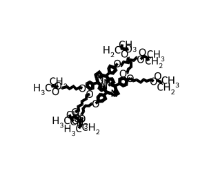 C=C(C)C(=O)OCCCCCCOc1ccc(-c2c3nc(c(-c4ccc(OCCCCCCOC(=O)C(=C)C)c(OCCCCCCOC(=O)C(C)(C)C)c4)c4ccc5c(-c6ccc(OCCCCCCOC(=O)C(=C)C)cc6)c6nc(c(-c7ccc(OCCCCCCOC(=O)C(=C)C)c(OCCCCCCOC(=O)C(=C)C)c7)c7ccc2n7n54)C=C6)C=C3)cc1